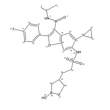 CC(C)NC(=O)c1c(-c2ccc(F)cc2)oc2cc(NS(=O)(=O)CCC3COB(O)C3)c(C3CC3)cc12